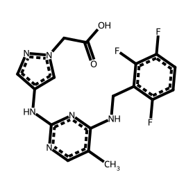 Cc1cnc(Nc2cnn(CC(=O)O)c2)nc1NCc1c(F)ccc(F)c1F